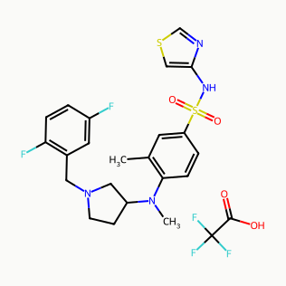 Cc1cc(S(=O)(=O)Nc2cscn2)ccc1N(C)C1CCN(Cc2cc(F)ccc2F)C1.O=C(O)C(F)(F)F